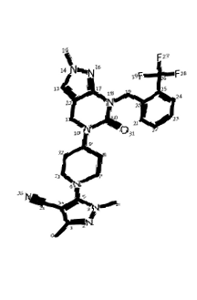 Cc1nn(C)c(N2CCC(N3Cc4cn(C)nc4N(Cc4ccccc4C(F)(F)F)C3=O)CC2)c1C#N